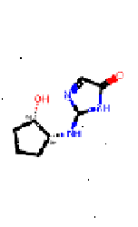 O=C1C=NC(N[C@@H]2CCC[C@@H]2O)N1